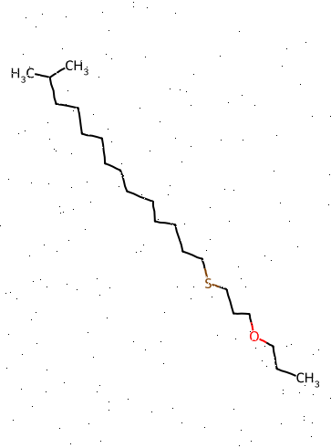 CCCOCCCSCCCCCCCCCCCCC(C)C